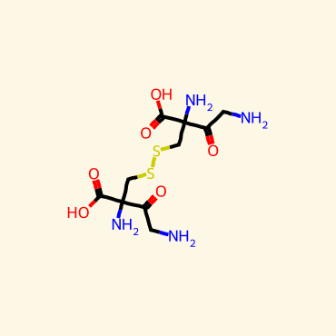 NCC(=O)C(N)(CSSCC(N)(C(=O)O)C(=O)CN)C(=O)O